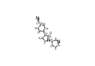 Cc1cn(-c2cccnc2)c(C)c1-c1ccc(C#N)cc1